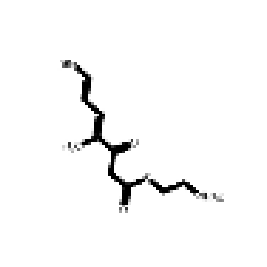 CCCC/C=C/C=C(\C)C(=O)CC(=O)SCCNC(C)=O